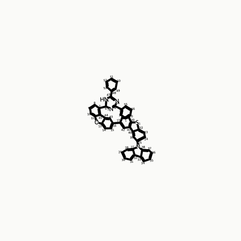 c1ccc(C2=NC(c3cccc4oc5ccc(-c6ccc7sc8ccc(-n9c%10ccccc%10c%10ccccc%109)cc8c7c6)cc5c34)NC(c3ccccc3)=N2)cc1